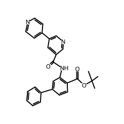 CC(C)(C)OC(=O)c1ccc(-c2ccccc2)cc1NC(=O)c1cncc(-c2ccncc2)c1